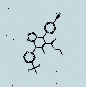 CCOC(=O)C1=C(C)N(c2cccc(C(F)(F)F)c2)c2nccn2C1c1ccc(C#N)cc1